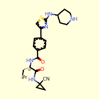 CC(C)C[C@H](NC(=O)c1ccc(-c2csc(NC3CCNCC3)n2)cc1)C(=O)NC1(C#N)CC1